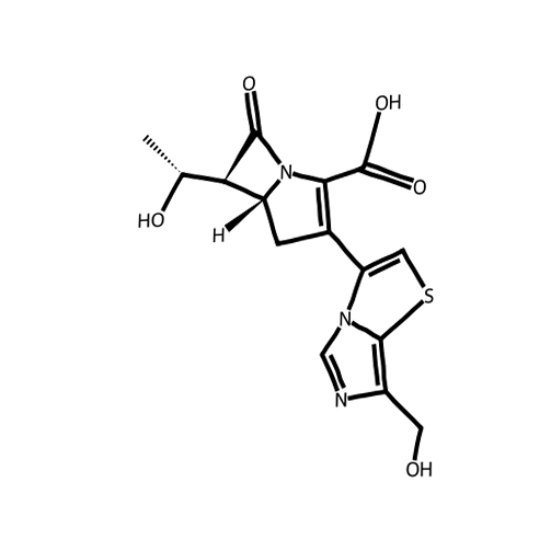 C[C@@H](O)[C@H]1C(=O)N2C(C(=O)O)=C(c3csc4c(CO)ncn34)C[C@H]12